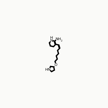 NC1=C(/C=C\CCCCCO[C@@H]2CCNC2)CCCN1